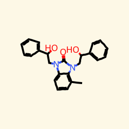 Cc1cccc2c1n(CC(O)c1ccccc1)c(=O)n2CC(O)c1ccccc1